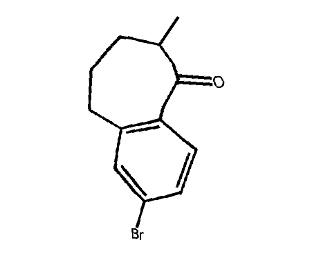 CC1CCCc2cc(Br)ccc2C1=O